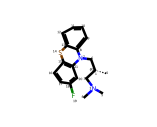 C[C@H](CN(C)C)CN1c2ccccc2Sc2ccc(F)cc21